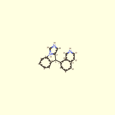 c1ccc2c(c1)C(c1cccc3ccncc13)c1cncn1-2